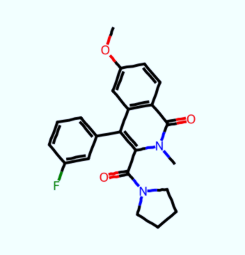 COc1ccc2c(=O)n(C)c(C(=O)N3CCCC3)c(-c3cccc(F)c3)c2c1